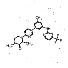 Cc1cc(Nc2nccc(C(F)(F)F)n2)cc(-c2ccc(N3CCN(C)C(=O)C3C)nc2)c1